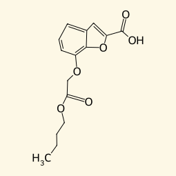 CCCCOC(=O)COc1cccc2cc(C(=O)O)oc12